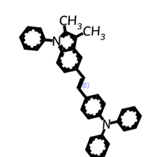 Cc1c(C)n(-c2ccccc2)c2ccc(/C=C/c3ccc(N(c4ccccc4)c4ccccc4)cc3)cc12